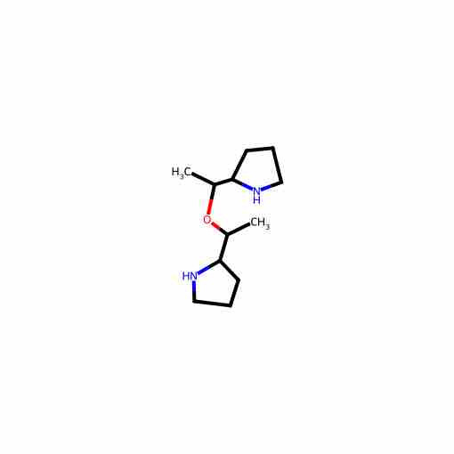 CC(OC(C)C1CCCN1)C1CCCN1